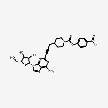 Nc1nc(C#CCC2CCN(C(=O)Oc3ccc([N+](=O)[O-])cc3)CC2)nc2c1ncn2[C@@H]1O[C@H](CO)C(O)C1O